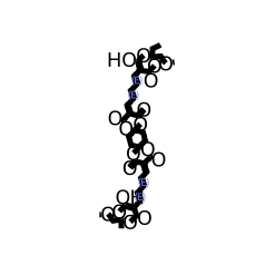 CCC1(COC)OC(=O)C(/C=C/C=C/C=C2C(=O)OC3(CCC4(CC3)OC(=O)C(=C/C=C/C=C/C3=C(O)OC(C)(COC)OC3=O)C(=O)O4)OC2=O)=C(O)O1